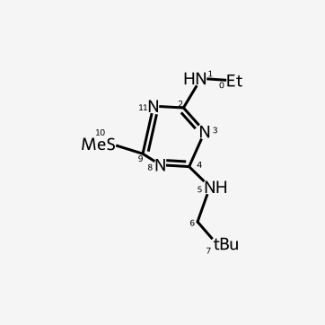 CCNc1nc(NCC(C)(C)C)nc(SC)n1